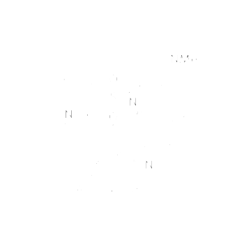 CNCc1cn(S(=O)(=O)c2cccnc2)c2cc(Nc3ccc(C)cc3)ccc12